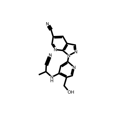 CC(C#N)Nc1cc(-n2ncc3cc(C#N)cnc32)ncc1CO